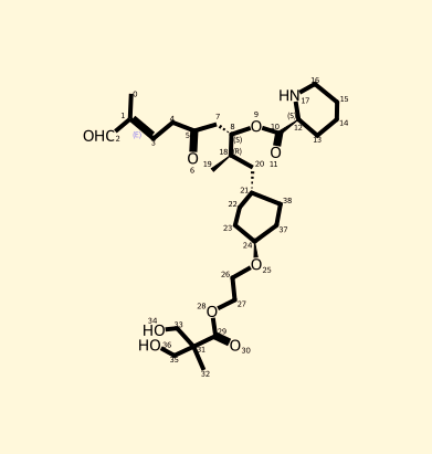 C/C(C=O)=C\CC(=O)C[C@H](OC(=O)[C@@H]1CCCCN1)[C@H](C)C[C@H]1CC[C@H](OCCOC(=O)C(C)(CO)CO)CC1